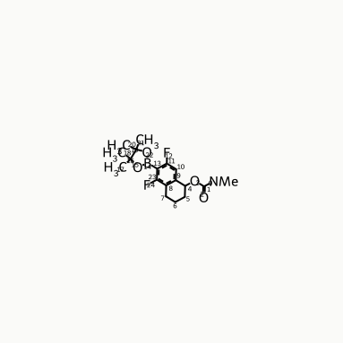 CNC(=O)OC1CCCc2c1cc(F)c(B1OC(C)(C)C(C)(C)O1)c2F